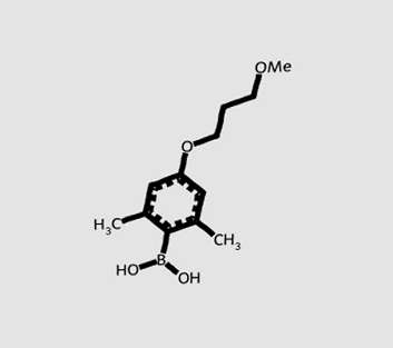 COCCCOc1cc(C)c(B(O)O)c(C)c1